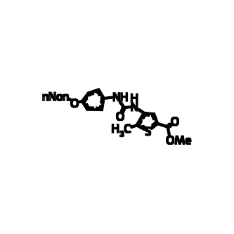 CCCCCCCCCOc1ccc(NC(=O)Nc2cc(C(=O)OC)sc2C)cc1